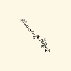 CNCCCNC(=O)OC(CCCCCNC(=O)CCOCCOCCOCCOCCN)CS(C)(=O)=O